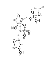 CC(C)OP(=O)(O)OC[C@H]1OC[C@H](O)[C@@H]1OP(=O)(O)OC[C@@H]1C[C@@H](O)CO1